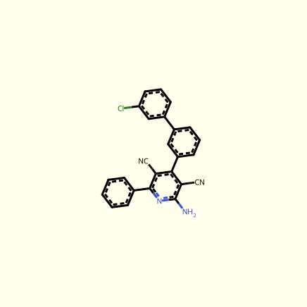 N#Cc1c(N)nc(-c2ccccc2)c(C#N)c1-c1cccc(-c2cccc(Cl)c2)c1